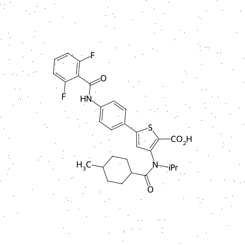 CC1CCC(C(=O)N(c2cc(-c3ccc(NC(=O)c4c(F)cccc4F)cc3)sc2C(=O)O)C(C)C)CC1